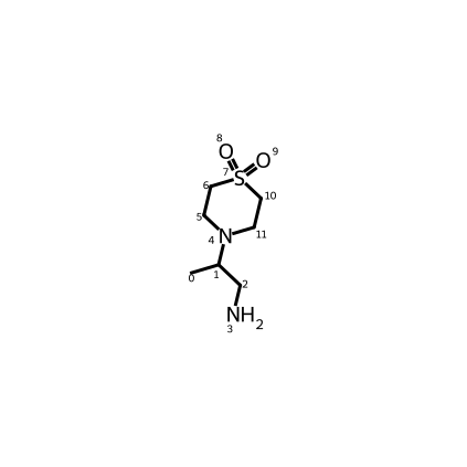 CC(CN)N1CCS(=O)(=O)CC1